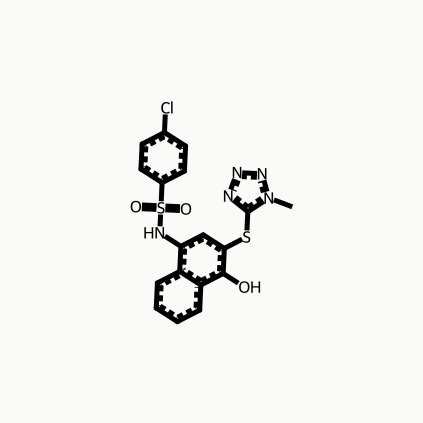 Cn1nnnc1Sc1cc(NS(=O)(=O)c2ccc(Cl)cc2)c2ccccc2c1O